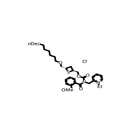 CCCCCCCCCCCCCCCCOC[C@@H]1C[C@@H](COC(=O)N(Cc2cccc[n+]2CC)C(=O)c2ccccc2OC)S1.[Cl-]